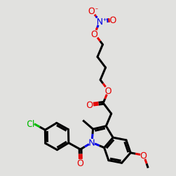 COc1ccc2c(c1)c(CC(=O)OCCCCO[N+](=O)[O-])c(C)n2C(=O)c1ccc(Cl)cc1